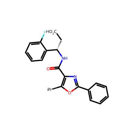 CC(C)c1oc(-c2ccccc2)nc1C(=O)N[C@@H](CC(=O)O)c1ccccc1F